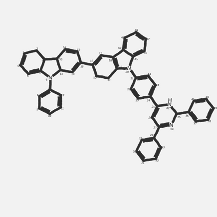 C1=CCC2C(=C1)N(c1ccccc1)C1C=C(C3=Cc4c(n(-c5ccc(C6=CC(c7ccccc7)=NC(c7ccccc7)N6)cc5)c5ccccc45)CC3)C=CC21